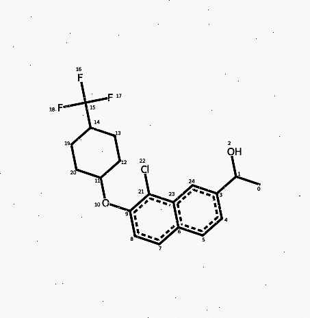 CC(O)c1ccc2ccc(OC3CCC(C(F)(F)F)CC3)c(Cl)c2c1